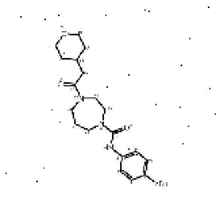 CCCCc1ccc(NC(=O)N2CCCN(C(=O)CC3CCOCC3)CC2)cc1